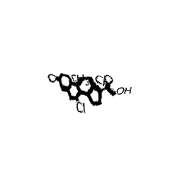 C[C@]12CCC(=O)C=C1CC(Cl)C1C2=CC[C@@]2(C)C1CC[C@@H]2C(=O)CO